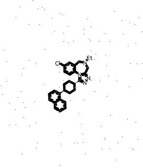 CCN1Cc2cc(Cl)ccc2-n2c(nnc2[C@H]2CC[C@H](c3cccc4ccccc43)CC2)C1